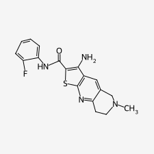 CN1CCc2nc3sc(C(=O)Nc4ccccc4F)c(N)c3cc2C1